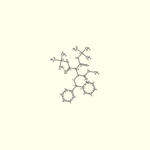 COC(=O)C(CN(c1ccccc1)c1ccccn1)N(C(=O)OC(C)(C)C)C(=O)OC(C)(C)C